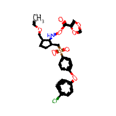 CCOCC1CCC(CS(=O)(=O)c2ccc(Oc3ccc(Cl)cc3)cc2)C1NOC(=O)C1=COCO1